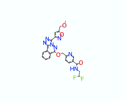 COCc1cc(-c2nnc3c4ccccc4c(OCc4ccc(C(=O)NCC(F)F)cn4)nn23)no1